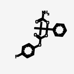 CC(C)(C)C(OC(N)=O)(OC(=O)Oc1ccc(F)cc1)c1ccccc1